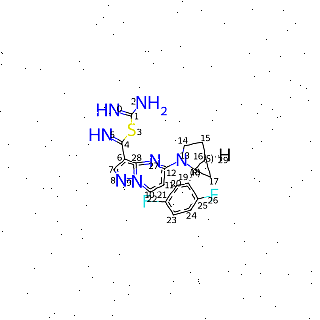 N=C(N)SC(=N)c1cnn2ccc(N3CC[C@H]4C[C@]43c3cc(F)ccc3F)nc12